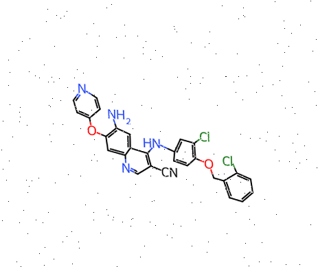 N#Cc1cnc2cc(Oc3ccncc3)c(N)cc2c1Nc1ccc(OCc2ccccc2Cl)c(Cl)c1